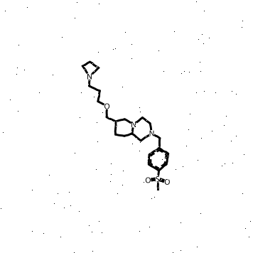 CS(=O)(=O)c1ccc(CN2CCN3CC(COCCCN4CCC4)CCC3C2)cc1